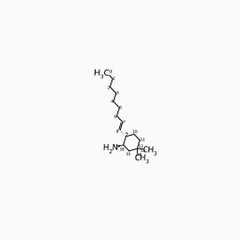 CCCCCCC/C=C/[C@@H]1CCC(C)(C)C[C@H]1N